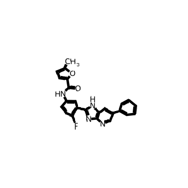 Cc1ccc(C(=O)Nc2ccc(F)c(-c3nc4ncc(-c5ccccc5)cc4[nH]3)c2)o1